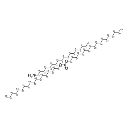 CCCCCCCCCCCCCCCCCCN.CCCCCCCCCCCCCCCCCCOC(=O)OCCCCCCCCCCCCCCCCCC